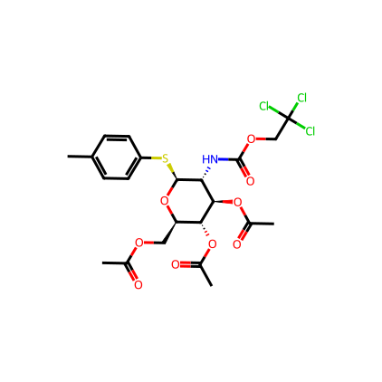 CC(=O)OC[C@H]1O[C@@H](Sc2ccc(C)cc2)[C@H](NC(=O)OCC(Cl)(Cl)Cl)[C@@H](OC(C)=O)[C@@H]1OC(C)=O